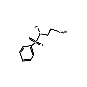 CCOC(=O)CCN(C(C)C)S(=O)(=O)c1ccccc1